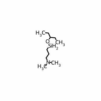 CCC(CC)O[SiH2]CCCN(C)C